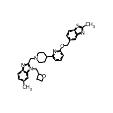 Cc1ccc2nc(CN3CCC(c4cccc(OCc5ccc6sc(C)nc6c5)n4)CC3)n(CC3CCO3)c2c1